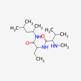 CCC(NC(=O)C(NC)C(C)C)C(=O)NC(C)CC(C)C